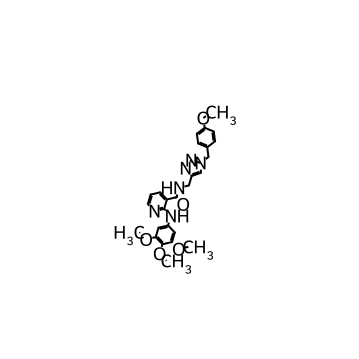 COc1ccc(Cn2cc(CNC(=O)c3cccnc3Nc3cc(OC)c(OC)c(OC)c3)nn2)cc1